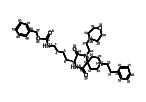 O=C(NCCCC[C@@H]1NC(=O)C2(CCN(CCc3ccccc3)CC2)N(CCN2CCOCC2)C1=O)OCc1ccccc1